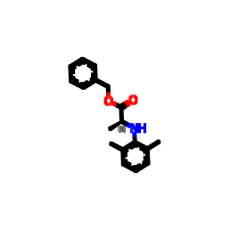 Cc1cccc(C)c1N[C@@H](C)C(=O)OCc1ccccc1